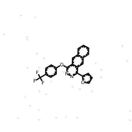 FC(F)(F)c1ccc(Oc2nnc(-c3ccco3)c3cc4ccccc4cc23)cc1